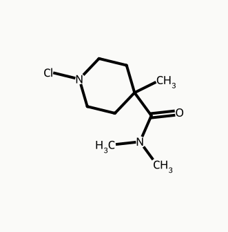 CN(C)C(=O)C1(C)CCN(Cl)CC1